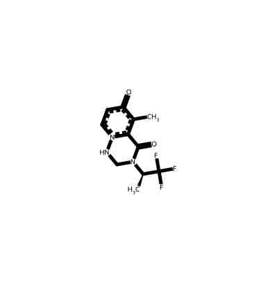 Cc1c2n(ccc1=O)NCN([C@H](C)C(F)(F)F)C2=O